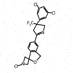 FC(F)(F)C1(c2cc(Cl)cc(Cl)c2)CN=C(c2ccc3c(c2)COC32CN(Cl)C2)C1